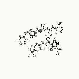 CC1(C)[C@H](/C=C2\CCSC2=O)[C@@H]1C(=O)OCc1coc(Cc2ccccc2)c1.CCc1nn(C)c(C(=O)NCc2ccc(C(C)(C)C)cc2)c1Cl